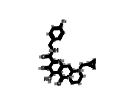 O=C(NCc1ccc(F)cc1)C1=NC2=C(C(=O)N3CCCN(CC4CC4)C3C2)C(O)C1=O